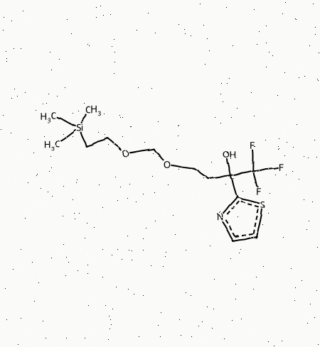 C[Si](C)(C)CCOCOCCC(O)(c1nccs1)C(F)(F)F